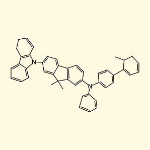 CC1CC=CC=C1c1ccc(N(c2ccccc2)c2ccc3c(c2)C(C)(C)c2cc(-n4c5c(c6ccccc64)CCC=C5)ccc2-3)cc1